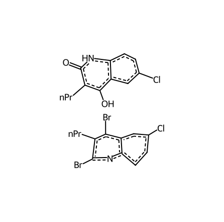 CCCc1c(Br)nc2ccc(Cl)cc2c1Br.CCCc1c(O)c2cc(Cl)ccc2[nH]c1=O